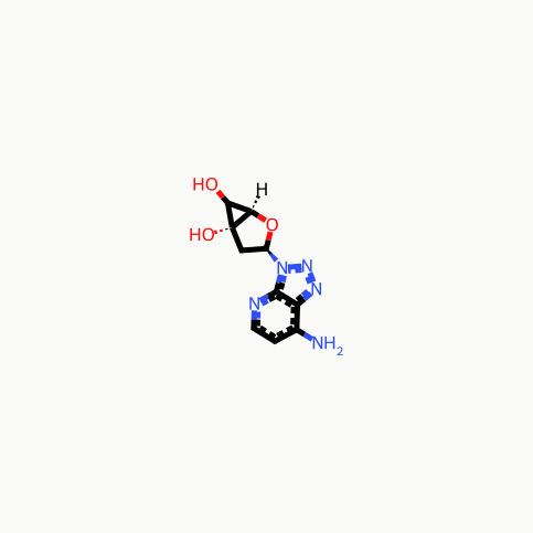 Nc1ccnc2c1nnn2[C@H]1C[C@@]2(O)C(O)[C@H]2O1